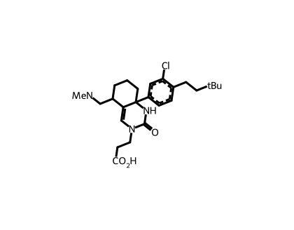 CNCC1CCCC2(c3ccc(CCC(C)(C)C)c(Cl)c3)NC(=O)N(CCC(=O)O)C=C12